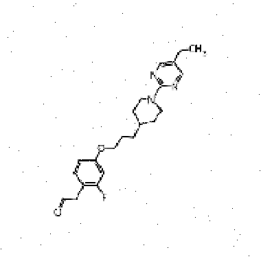 CCc1cnc(N2CCC(CCCOc3ccc(CC=O)c(F)c3)CC2)nc1